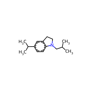 CC(C)CN1CCc2cc(C(C)C)ccc21